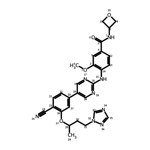 COc1cc(C(=O)NC2COC2)ccc1Nc1ncc(-c2ccc(C#N)c(OC(C)CCn3cncn3)c2)cn1